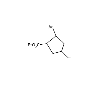 CCOC(=O)C1CC(F)CC1C(C)=O